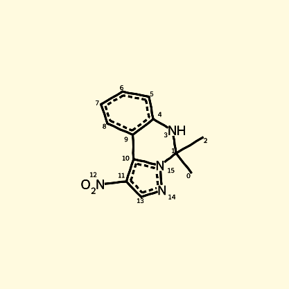 CC1(C)Nc2ccccc2-c2c([N+](=O)[O-])cnn21